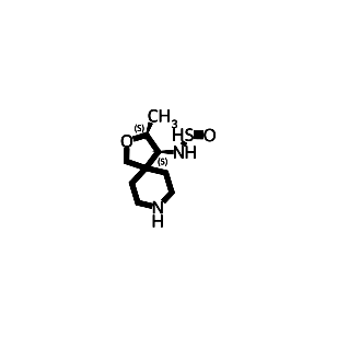 C[C@@H]1OCC2(CCNCC2)[C@@H]1N[SH]=O